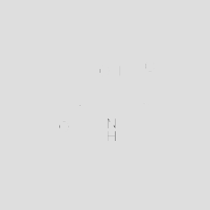 C=CC(=O)NC(C)(O)OCC